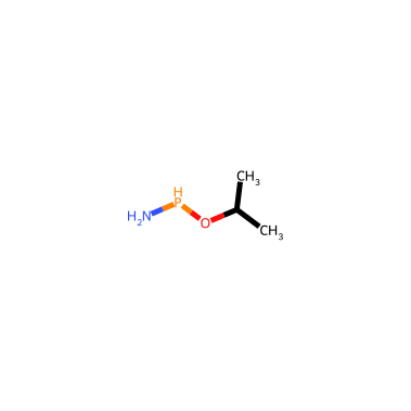 CC(C)OPN